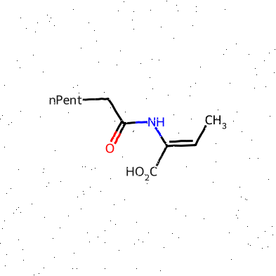 C/C=C(\NC(=O)CCCCCC)C(=O)O